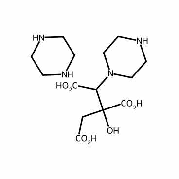 C1CNCCN1.O=C(O)CC(O)(C(=O)O)C(C(=O)O)N1CCNCC1